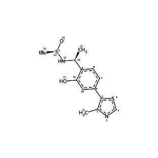 Cc1ncsc1-c1ccc([C@H](C)N[S@+]([O-])C(C)(C)C)c(O)c1